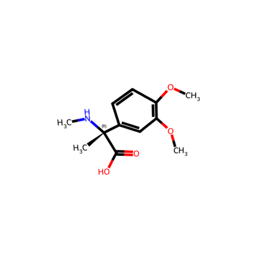 CN[C@@](C)(C(=O)O)c1ccc(OC)c(OC)c1